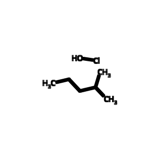 CCCC(C)C.OCl